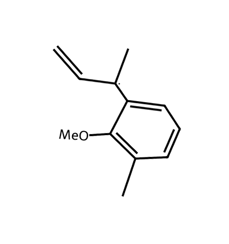 C=C[C](C)c1cccc(C)c1OC